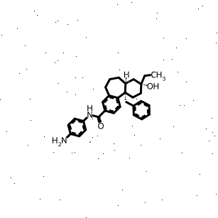 CC[C@@]1(O)CC[C@@]2(Cc3ccccc3)c3ccc(C(=O)Nc4ccc(N)cc4)cc3CCC[C@H]2C1